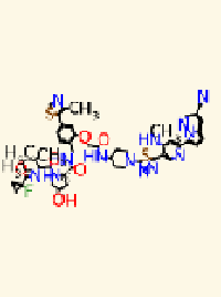 CNc1cc(-c2ccc3cc(C#N)cnn23)ncc1-c1nnc(N2CCC(NC(=O)COc3cc(-c4scnc4C)ccc3CNC(=O)[C@@H]3C[C@@H](O)CN3C(=O)C(NC(=O)C3(F)CC3)C(C)(C)C)CC2)s1